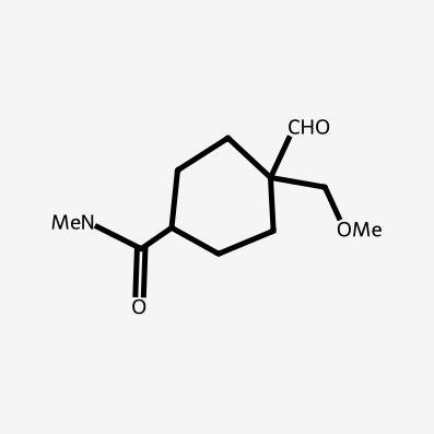 CNC(=O)C1CCC(C=O)(COC)CC1